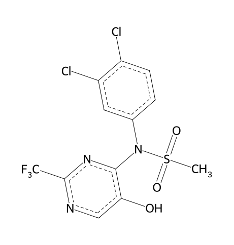 CS(=O)(=O)N(c1ccc(Cl)c(Cl)c1)c1nc(C(F)(F)F)ncc1O